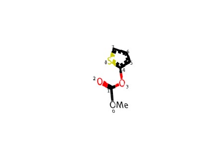 COC(=O)Oc1cccs1